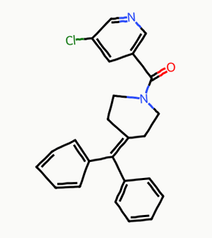 O=C(c1cncc(Cl)c1)N1CCC(=C(c2ccccc2)c2ccccc2)CC1